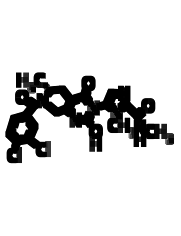 CNC(=O)c1ncc(-n2c(O)nc3c(c2=O)C[C@@H](C)N(C(=O)c2ccc(Cl)c(Cl)c2)C3)n1C